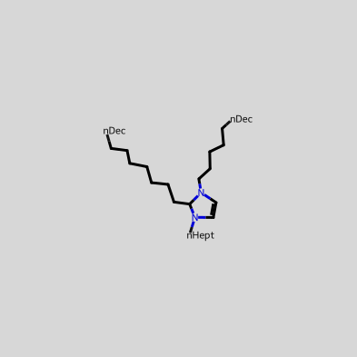 CCCCCCCCCCCCCCCCCC1N(CCCCCCC)C=CN1CCCCCCCCCCCCCCC